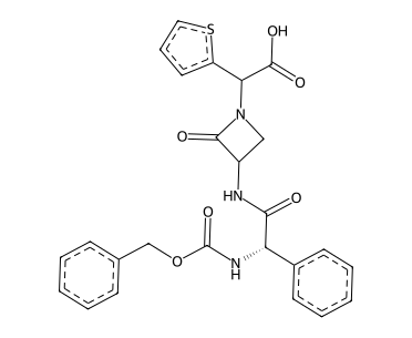 O=C(N[C@H](C(=O)NC1CN(C(C(=O)O)c2cccs2)C1=O)c1ccccc1)OCc1ccccc1